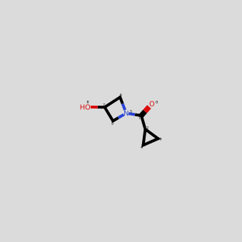 O=C(C1CC1)N1CC(O)C1